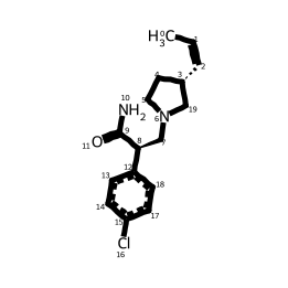 C/C=C\[C@H]1CCN(C[C@H](C(N)=O)c2ccc(Cl)cc2)C1